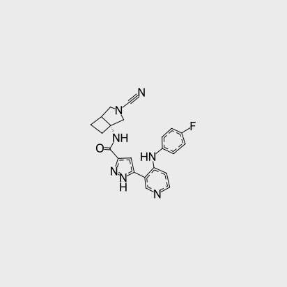 N#CN1CC2CC[C@]2(NC(=O)c2cc(-c3cnccc3Nc3ccc(F)cc3)[nH]n2)C1